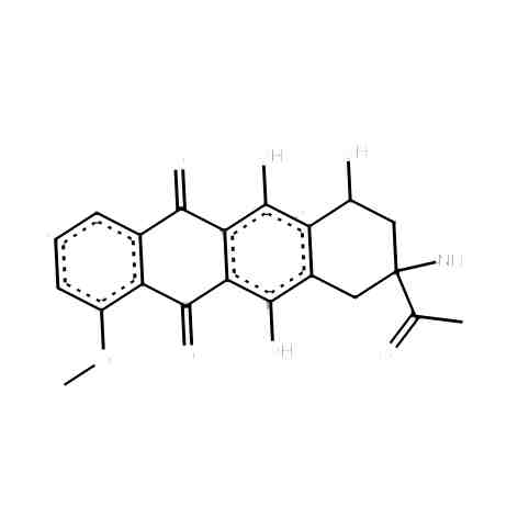 COc1cccc2c1C(=O)c1c(O)c3c(c(O)c1C2=O)C(O)CC(N)(C(C)=O)C3